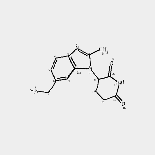 Cc1nc2ccc(CN)cc2n1C1CCC(=O)NC1=O